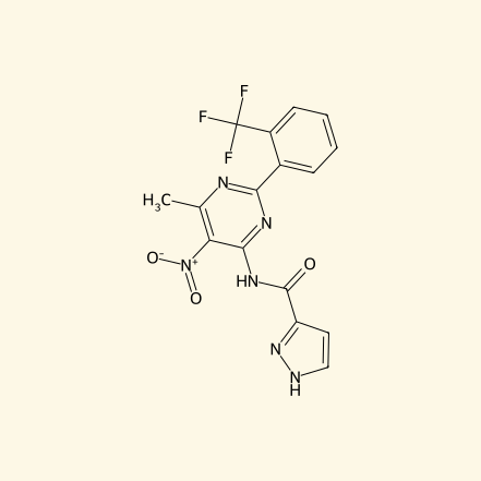 Cc1nc(-c2ccccc2C(F)(F)F)nc(NC(=O)c2cc[nH]n2)c1[N+](=O)[O-]